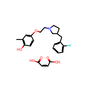 Cc1cc(OCCN2CCC(Cc3ccccc3F)C2)ccc1O.O=C(O)/C=C\C(=O)O